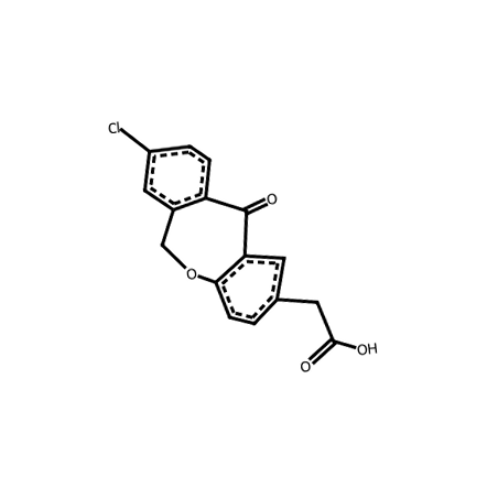 O=C(O)Cc1ccc2c(c1)C(=O)c1ccc(Cl)cc1CO2